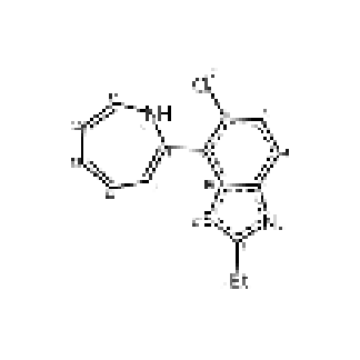 CCc1nc2ccc(Cl)c(C3=CC=CC=CN3)c2s1